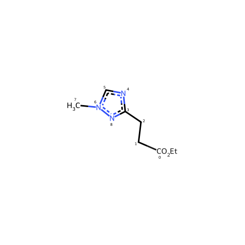 CCOC(=O)CCc1ncn(C)n1